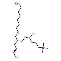 CCCCCCCCCCCCCCCCOCC(C/C=N/O)COP(O)OCC[N+](C)(C)C